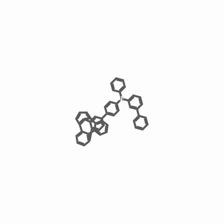 c1ccc(-c2cccc(N(c3ccccc3)c3ccc(-c4ccc5c(c4)-c4c6cccc4-c4cccc-5c4-c4ccccc4-6)cc3)c2)cc1